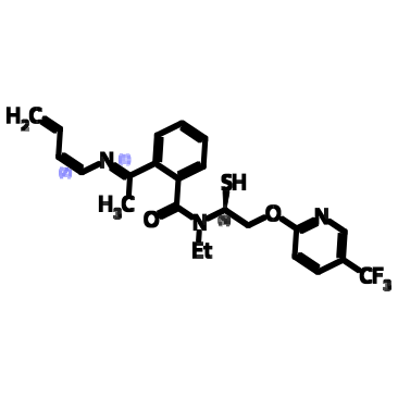 C=C/C=C\N=C(/C)c1ccccc1C(=O)N(CC)[C@@H](S)COc1ccc(C(F)(F)F)cn1